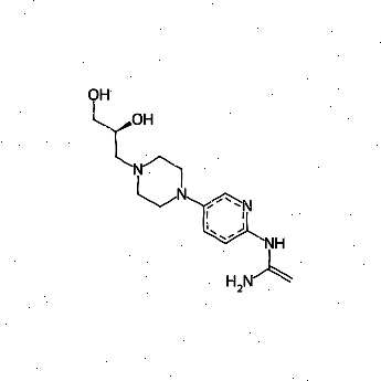 C=C(N)Nc1ccc(N2CCN(C[C@H](O)CO)CC2)cn1